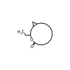 CCC1CC2CC2CCCCCCCCCC(=O)O1